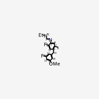 CCN(C)/C=N/c1cc(C)c(Cc2cc(F)cc(OC)c2)cc1F